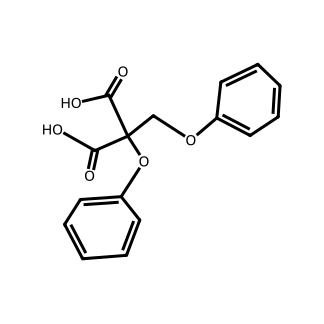 O=C(O)C(COc1ccccc1)(Oc1ccccc1)C(=O)O